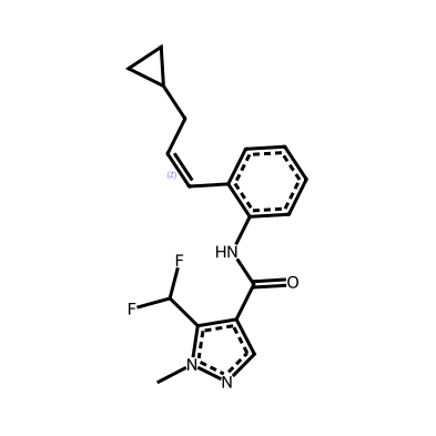 Cn1ncc(C(=O)Nc2ccccc2/C=C\CC2CC2)c1C(F)F